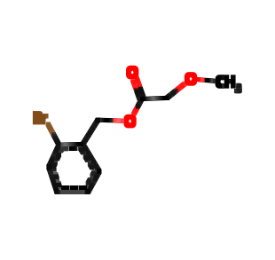 COCC(=O)OCc1ccccc1Br